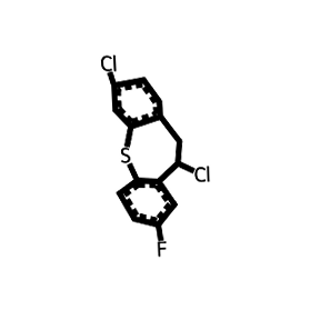 Fc1ccc2c(c1)C(Cl)Cc1ccc(Cl)cc1S2